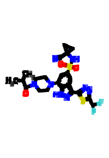 CC(C)C(=O)N1CCN(c2cc(S(=O)(=O)NC3(C#N)CC3)cc3c(-c4nnc(C(F)F)s4)n[nH]c23)CC1